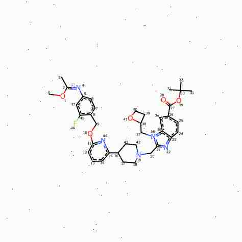 CO/C(C)=N\c1ccc(COc2cccc(C3CCN(Cc4nc5ccc(C(=O)OC(C)(C)C)cc5n4CC4CCO4)CC3)n2)c(F)c1